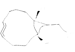 OCC1[C@H]2CC/C=C\CC[C@@H]12